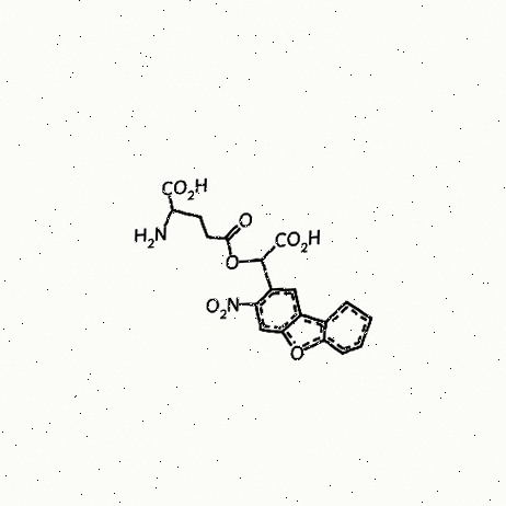 NC(CCC(=O)OC(C(=O)O)c1cc2c(cc1[N+](=O)[O-])oc1ccccc12)C(=O)O